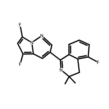 CC1(C)Cc2c(F)cccc2C(c2cnn3c(F)cc(F)c3c2)=N1